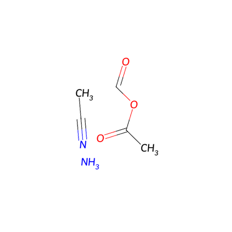 CC#N.CC(=O)OC=O.N